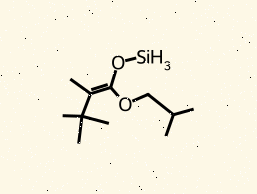 CC(=C(O[SiH3])OCC(C)C)C(C)(C)C